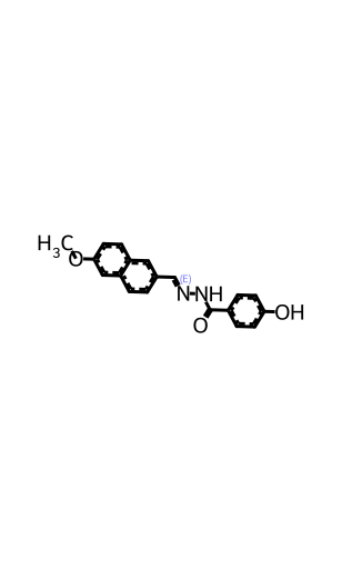 COc1ccc2cc(/C=N/NC(=O)c3ccc(O)cc3)ccc2c1